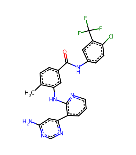 Cc1ccc(C(=O)Nc2ccc(Cl)c(C(F)(F)F)c2)cc1Nc1ncccc1-c1cc(N)ncn1